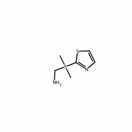 CS(C)(CN)c1nccs1